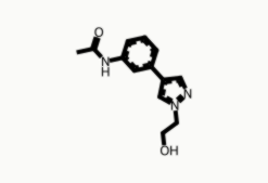 CC(=O)Nc1cccc(-c2cnn(CCO)c2)c1